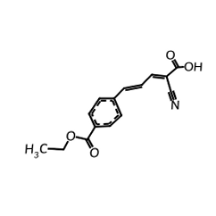 CCOC(=O)c1ccc(/C=C/C=C(\C#N)C(=O)O)cc1